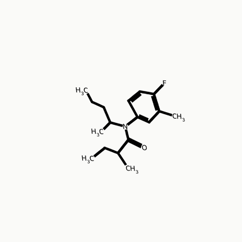 CCCC(C)N(C(=O)C(C)CC)c1ccc(F)c(C)c1